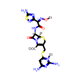 CCO/N=C(\C(=O)N[C@@H]1C(=O)N2C(C(=O)[O-])=C(CSc3cc(N)nc(N)[n+]3CC)CS[C@H]12)c1nsc(N)n1